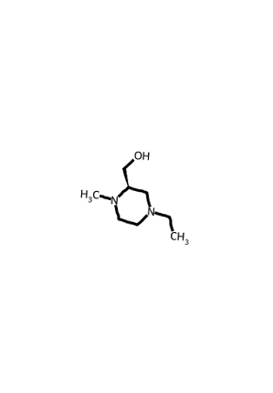 CCN1CCN(C)[C@@H](CO)C1